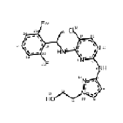 [CH2][C](Nc1nc(Nc2ccn(CCO)n2)ncc1Cl)c1c(F)cccc1F